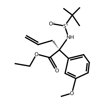 C=CC[C@@](N[S+]([O-])C(C)(C)C)(C(=O)OCC)c1cccc(OC)c1